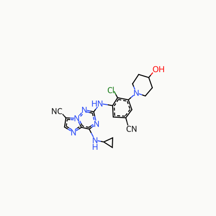 N#Cc1cc(Nc2nc(NC3CC3)c3ncc(C#N)n3n2)c(Cl)c(N2CCC(O)CC2)c1